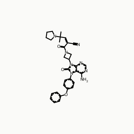 CC(C)(/C=C(/C#N)C(=O)N1CC(n2c(=O)n(-c3ccc(Oc4ccccc4)cc3)c3c(N)ncnc32)C1)N1CCCC1